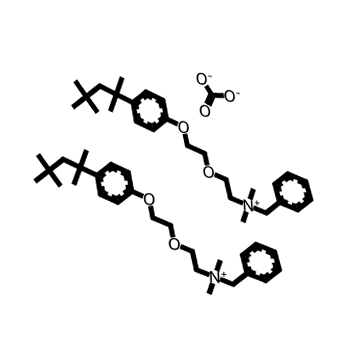 CC(C)(C)CC(C)(C)c1ccc(OCCOCC[N+](C)(C)Cc2ccccc2)cc1.CC(C)(C)CC(C)(C)c1ccc(OCCOCC[N+](C)(C)Cc2ccccc2)cc1.O=C([O-])[O-]